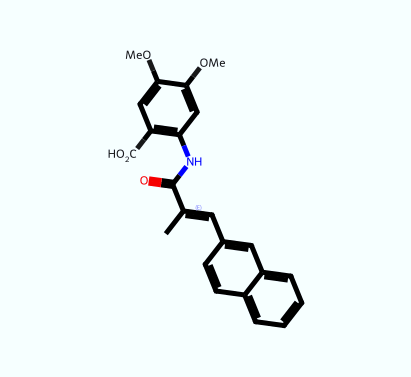 COc1cc(NC(=O)/C(C)=C/c2ccc3ccccc3c2)c(C(=O)O)cc1OC